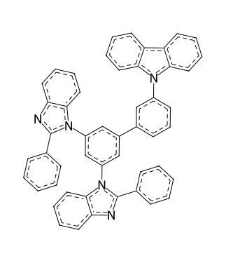 c1ccc(-c2nc3ccccc3n2-c2cc(-c3cccc(-n4c5ccccc5c5ccccc54)c3)cc(-n3c(-c4ccccc4)nc4ccccc43)c2)cc1